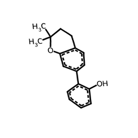 CC1(C)CCc2ccc(-c3ccccc3O)cc2O1